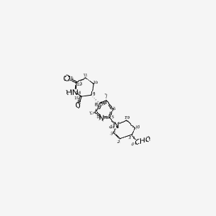 O=CC1CCN(c2ccc([C@H]3CCC(=O)NC3=O)cn2)CC1